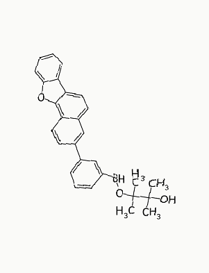 CC(C)(O)C(C)(C)OBc1cccc(-c2ccc3c(ccc4c5ccccc5oc34)c2)c1